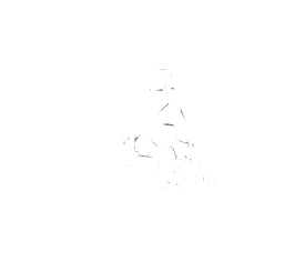 CCn1nc(-c2ccc(S(C)(=O)=O)cc2)c(-c2cccc(F)c2)c1C(F)(F)C(F)(F)F.CO